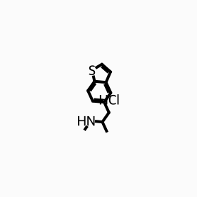 CNC(C)Cc1ccc2sccc2c1.Cl